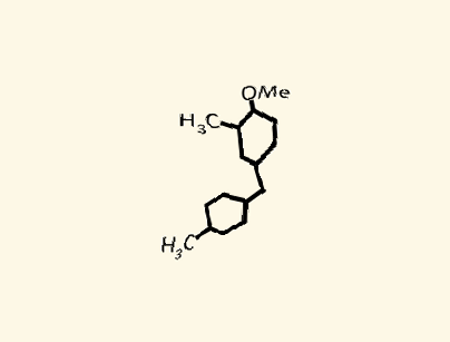 COC1CCC(CC2CCC(C)CC2)CC1C